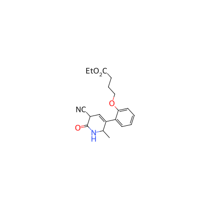 CCOC(=O)CCCOc1ccccc1C1=CC(C#N)C(=O)NC1C